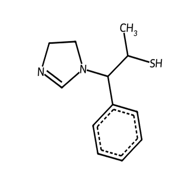 CC(S)C(c1ccccc1)N1C=NCC1